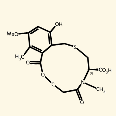 COc1cc(O)c2c(c1C)C(=O)OCCC(=O)N(C)[C@H](C(=O)O)CSC2